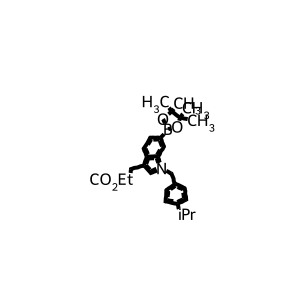 CCOC(=O)Cc1cn(Cc2ccc(C(C)C)cc2)c2cc(B3OC(C)(C)C(C)(C)O3)ccc12